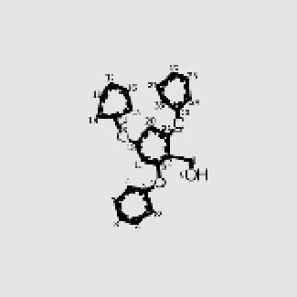 OCc1c(Oc2ccccc2)cc(Oc2ccccc2)cc1Oc1ccccc1